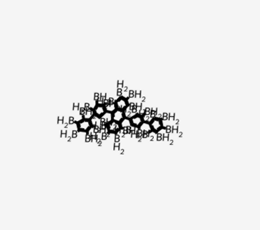 Bc1c(B)c(B)c(-c2c(B)c(B)c(-c3c4c(B)c(B)c(B)c(B)c4c(-c4c(B)c(B)c(B)c(-c5c(B)c(B)c(B)c(B)c5B)c4B)c4c(B)c(B)c(B)c(B)c34)c(B)c2B)c(B)c1B